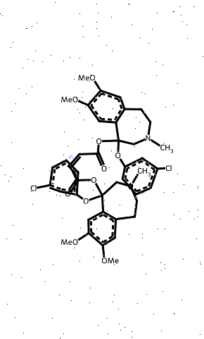 COc1cc2c(cc1OC)C(OC(=O)/C=C\C(=O)OC1(Oc3cccc(Cl)c3)CN(C)CCc3cc(OC)c(OC)cc31)(Oc1cccc(Cl)c1)CN(C)CC2